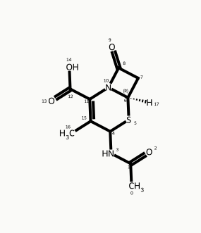 CC(=O)NC1S[C@@H]2CC(=O)N2C(C(=O)O)=C1C